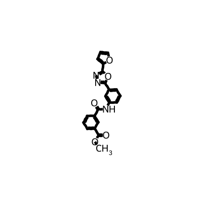 COC(=O)c1cccc(C(=O)Nc2cccc(-c3nnc(-c4ccco4)o3)c2)c1